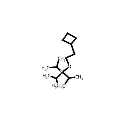 CC(C)[Si](OCCC1C[CH]C1)(C(C)C)C(C)C